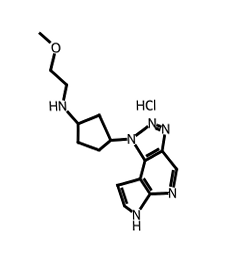 COCCNC1CCC(n2nnc3cnc4[nH]ccc4c32)C1.Cl